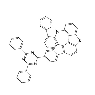 c1ccc(-c2nc(-c3ccccc3)nc(-c3ccc4c(c3)sc3c4ccc4sc5cccc(-n6c7ccccc7c7ccccc76)c5c43)n2)cc1